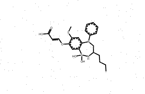 CCCCC1CN(c2ccccc2)c2cc(SC)c(O/C=C/C(=O)O)cc2S(O)(O)N1